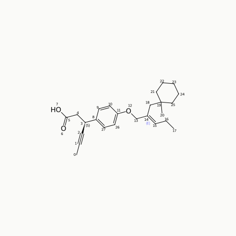 CC#C[C@@H](CC(=O)O)c1ccc(OC/C(=C/CC)CC2(C)CCCCC2)cc1